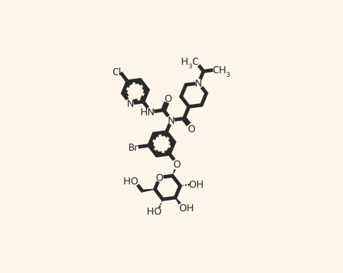 CC(C)N1CCC(C(=O)N(C(=O)Nc2ccc(Cl)cn2)c2cc(Br)cc(O[C@H]3O[C@H](CO)[C@@H](O)[C@H](O)[C@H]3O)c2)CC1